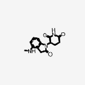 CNc1cccc2c1CC(=O)N2C1CCC(=O)NC1=O